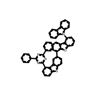 c1ccc(-c2nc(-c3ccccc3)nc(-c3cccc4sc5ccc(-c6cccc7c6oc6cccc(-n8c9ccccc9c9ccccc98)c67)cc5c34)n2)cc1